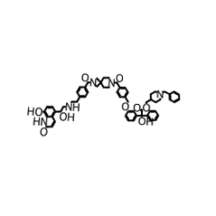 O=C(c1ccc(COc2cccc([C@](O)(C(=O)OCC3CCN(Cc4ccccc4)CC3)c3ccccc3)c2)cc1)N1CCC2(CC1)CN(C(=O)c1ccc(CCNC[C@H](O)c3ccc(O)c4[nH]c(=O)ccc34)cc1)C2